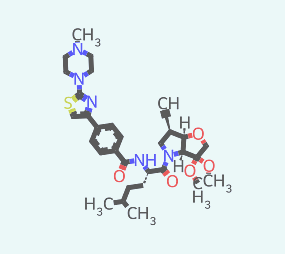 C#C[C@@H]1CN(C(=O)[C@H](CCC(C)C)NC(=O)c2ccc(-c3csc(N4CCN(C)CC4)n3)cc2)[C@H]2[C@@H]1OCC2(OC)OC